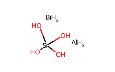 O[Si](O)(O)O.[AlH3].[BiH3]